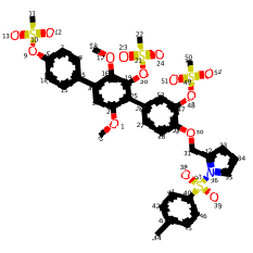 COc1cc(-c2ccc(OS(C)(=O)=O)cc2)c(OC)c(OS(C)(=O)=O)c1-c1ccc(OCc2cccn2S(=O)(=O)c2ccc(C)cc2)c(OS(C)(=O)=O)c1